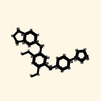 CCc1cc(CC)c(Oc2ccc3c(c2)OCO3)nc1Oc1ccc(-n2ccnc2)cc1